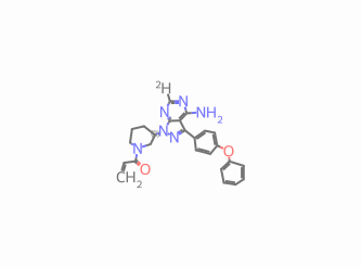 [2H]c1nc(N)c2c(-c3ccc(Oc4ccccc4)cc3)nn([C@@H]3CCCN(C(=O)C=C)C3)c2n1